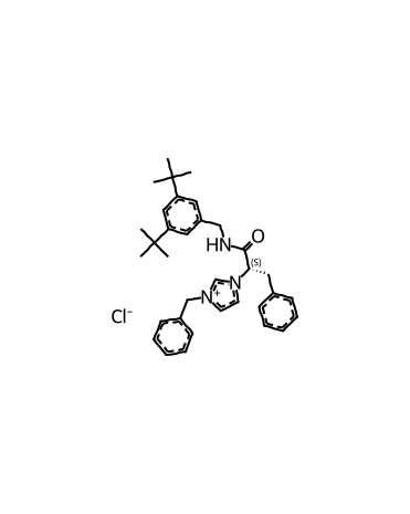 CC(C)(C)c1cc(CNC(=O)[C@H](Cc2ccccc2)n2cc[n+](Cc3ccccc3)c2)cc(C(C)(C)C)c1.[Cl-]